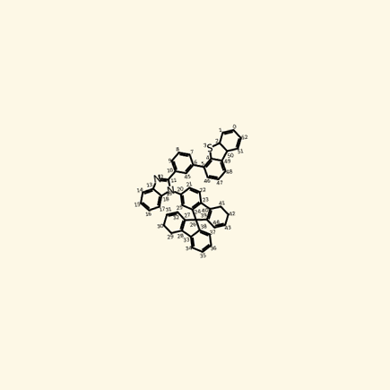 C1=CC2Sc3c(-c4cccc(-c5nc6ccccc6n5-c5ccc6c(c5)C5(C7=C(CCC=C7)c7ccccc75)C5=C6CCC=C5)c4)cccc3C2C=C1